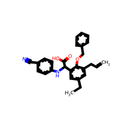 C=CCc1cc(CC)cc(C(Nc2ccc(C#N)cc2)C(=O)O)c1OCc1ccccc1